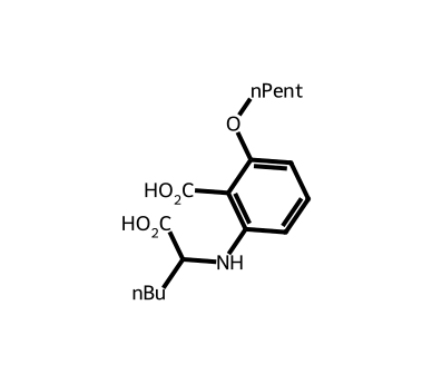 CCCCCOc1cccc(NC(CCCC)C(=O)O)c1C(=O)O